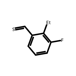 CCc1c(F)cccc1C=S